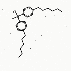 CCCCCCc1ccc([Si](C)(Cl)c2ccc(CCCCCC)cc2)cc1